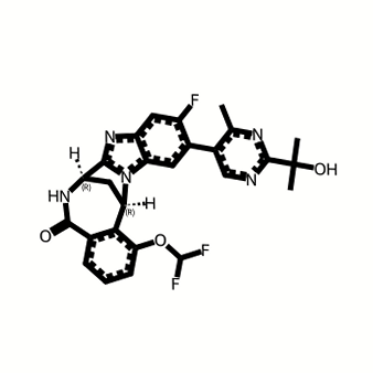 Cc1nc(C(C)(C)O)ncc1-c1cc2c(cc1F)nc1n2[C@@H]2C[C@H]1NC(=O)c1cccc(OC(F)F)c12